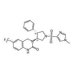 Cn1cnc(S(=O)(=O)N2C[C@@H](N3Cc4cc(C(F)(F)F)ccc4NC3=O)[C@H](c3ccccc3)C2)c1